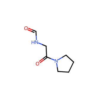 O=CNCC(=O)N1CCCC1